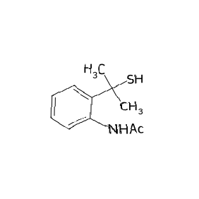 CC(=O)Nc1ccccc1C(C)(C)S